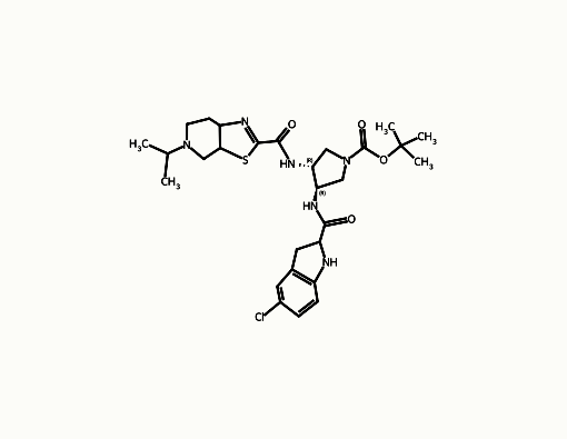 CC(C)N1CCC2N=C(C(=O)N[C@@H]3CN(C(=O)OC(C)(C)C)C[C@H]3NC(=O)C3Cc4cc(Cl)ccc4N3)SC2C1